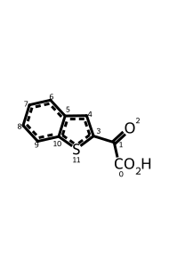 O=C(O)C(=O)c1cc2ccccc2s1